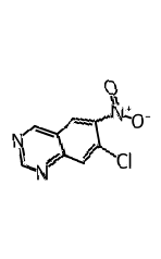 O=[N+]([O-])c1cc2cncnc2cc1Cl